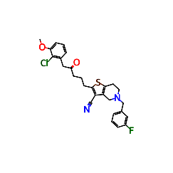 COc1cccc(CC(=O)CCCc2sc3c(c2C#N)CN(Cc2cccc(F)c2)CC3)c1Cl